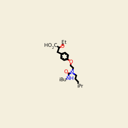 CCOC(Cc1ccc(OCCN(CCCC(C)C)C(=O)NC(C)CC)cc1)C(=O)O